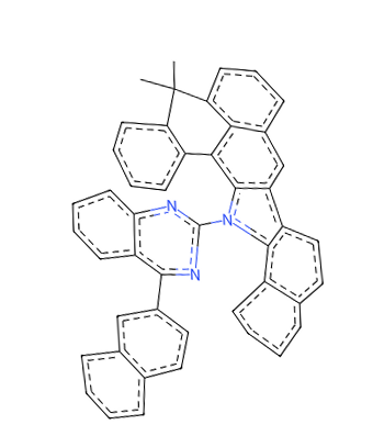 CC1(C)c2ccccc2-c2c3c1cccc3cc1c3ccc4ccccc4c3n(-c3nc(-c4ccc5ccccc5c4)c4ccccc4n3)c21